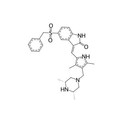 Cc1[nH]c(/C=C2\C(=O)Nc3ccc(S(=O)(=O)Cc4ccccc4)cc32)c(C)c1CN1C[C@@H](C)N[C@@H](C)C1